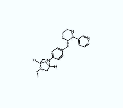 CCN1C[C@@H]2C[C@H]1CN2c1ccc(/C=C2\CCCN=C2c2cccnc2)cc1